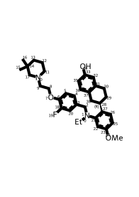 CCN(Cc1ccc(OCCN2CCCC(C)(C)C2)c(F)c1)c1cc(OC)ccc1[C@@H]1CCc2cc(O)ccc2C1